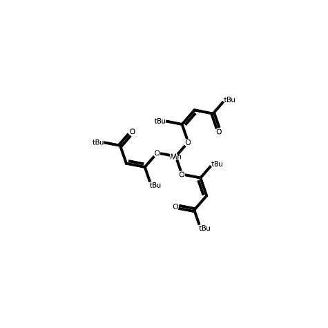 CC(C)(C)C(=O)/C=C(\[O][Mn]([O]/C(=C\C(=O)C(C)(C)C)C(C)(C)C)[O]/C(=C\C(=O)C(C)(C)C)C(C)(C)C)C(C)(C)C